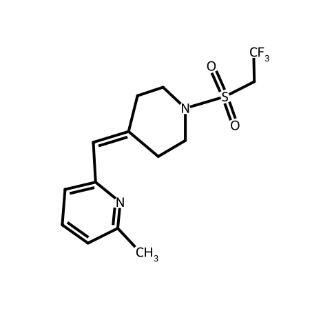 Cc1cccc(C=C2CCN(S(=O)(=O)CC(F)(F)F)CC2)n1